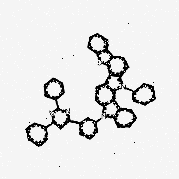 c1ccc(-c2cc(-c3cccc(-n4c5ccccc5c5c4ccc4c6c7oc8ccccc8c7ccc6n(-c6ccccc6)c45)c3)nc(-c3ccccc3)n2)cc1